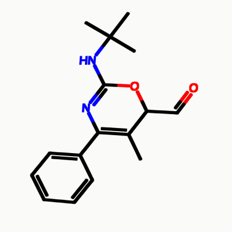 CC1=C(c2ccccc2)N=C(NC(C)(C)C)OC1C=O